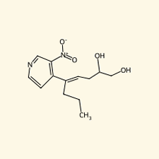 CCCC(=CCC(O)CO)c1ccncc1[N+](=O)[O-]